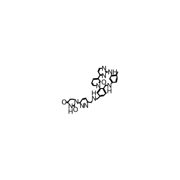 Cc1ccc(NC(=O)c2ccc(CNCc3ccc(N4CCC(=O)NC4=O)nn3)cc2)cc1Nc1nccc(-c2cccnc2)n1